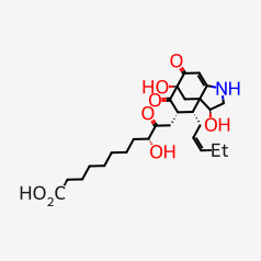 CC/C=C\C[C@@H]1[C@H](CC(=O)[C@H](O)CCCCCCCC(=O)O)C(=O)[C@@]2(O)CC13C(=CC2=O)NC[C@H]3O